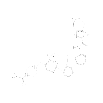 COc1nc(-c2cccc(-c3cccc(NC(=O)c4nc5c(n4C)CCN(C)C5)c3Cl)c2Cl)ccc1CN1CCN(C(=O)C2CC2)CC1